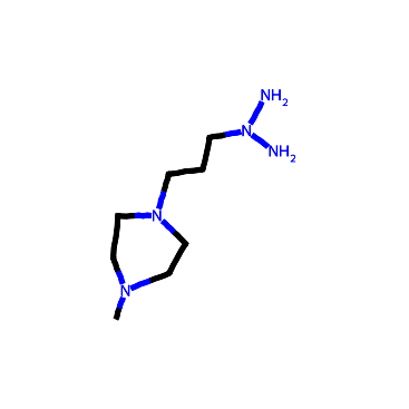 CN1CCN(CCCN(N)N)CC1